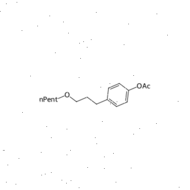 CCCCCOCCCc1ccc(OC(C)=O)cc1